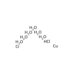 Cl.O.O.O.O.O.O.[Cr].[Cu]